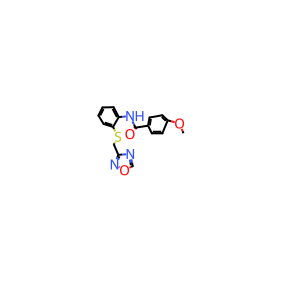 COc1ccc(C(=O)Nc2ccccc2SCc2ncon2)cc1